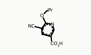 CC(C)Oc1ncc(C(=O)O)cc1C#N